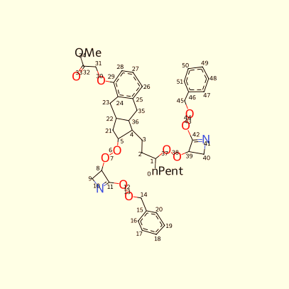 CCCCCC(CCC1C(OOC2CN=C2OOCc2ccccc2)CC2Cc3c(cccc3OCC(=O)OC)CC21)OOC1CN=C1OOCc1ccccc1